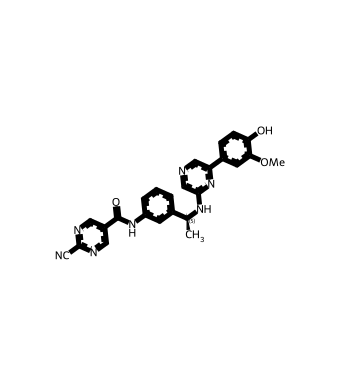 COc1cc(-c2cncc(N[C@@H](C)c3cccc(NC(=O)c4cnc(C#N)nc4)c3)n2)ccc1O